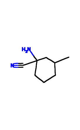 CC1CCCC(N)(C#N)C1